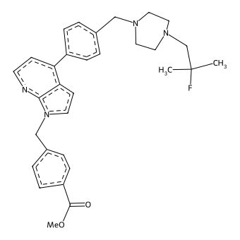 COC(=O)c1ccc(Cn2ccc3c(-c4ccc(CN5CCN(CC(C)(C)F)CC5)cc4)ccnc32)cc1